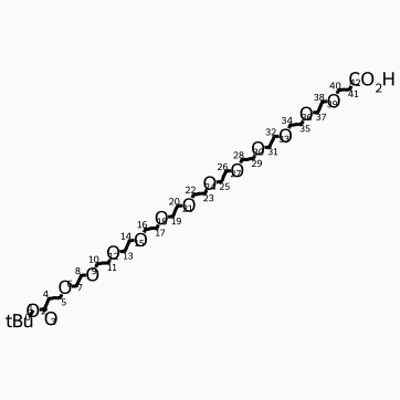 CC(C)(C)OC(=O)CCOCCOCCOCCOCCOCCOCCOCCOCCOCCOCCOCCOCCC(=O)O